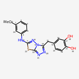 COc1cccc(Nc2nn3c(Cc4ccc(O)c(O)c4)nnc3s2)c1